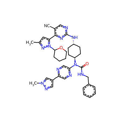 Cc1cc(-c2nc(N[C@H]3CC[C@H](N(C(=O)NCc4ccccc4)c4cnc(-c5cnn(C)c5)cn4)CC3)ncc2C#N)n(C2CCCCO2)n1